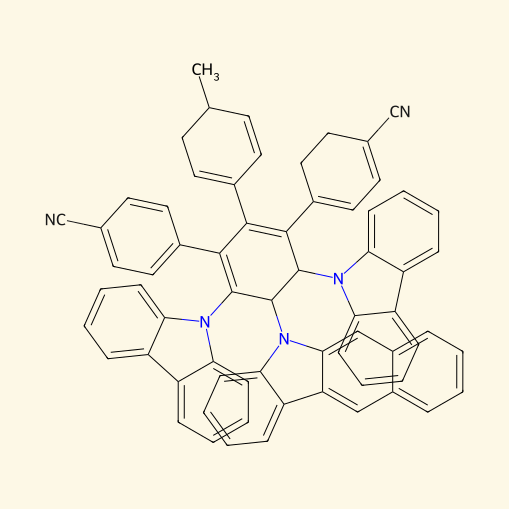 CC1C=CC(C2=C(C3=CC=C(C#N)CC3)C(n3c4ccccc4c4ccccc43)C(n3c4ccccc4c4cc5ccccc5cc43)C(n3c4ccccc4c4ccccc43)=C2c2ccc(C#N)cc2)=CC1